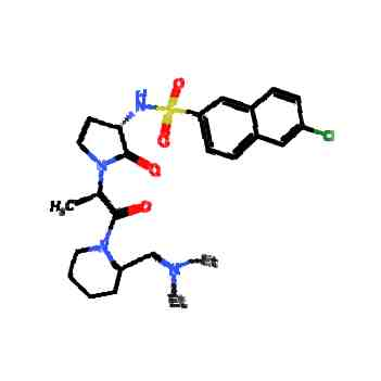 CCN(CC)CC1CCCCN1C(=O)[C@@H](C)N1CC[C@H](NS(=O)(=O)c2ccc3cc(Cl)ccc3c2)C1=O